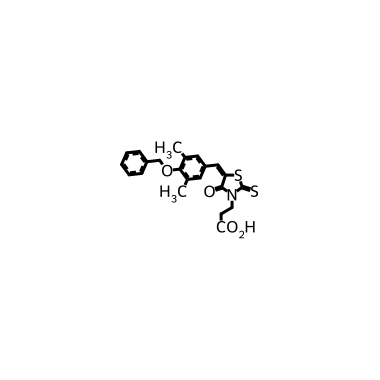 Cc1cc(C=C2SC(=S)N(CCC(=O)O)C2=O)cc(C)c1OCc1ccccc1